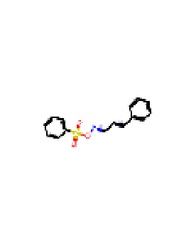 O=S(=O)(O/N=C/C=C/c1ccccc1)c1ccccc1